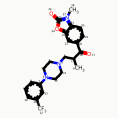 CC(CN1CCN(c2cccc(C(F)(F)F)c2)CC1)C(=O)c1ccc2c(c1)oc(=O)n2C